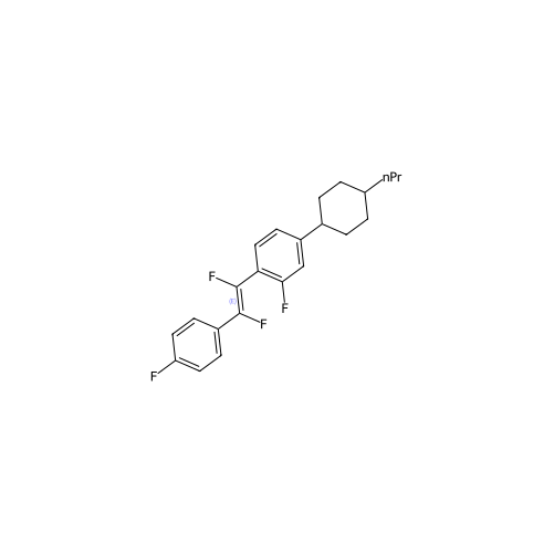 CCCC1CCC(c2ccc(/C(F)=C(\F)c3ccc(F)cc3)c(F)c2)CC1